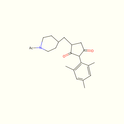 CC(=O)N1CCC(CC2CC(=O)C(c3c(C)cc(C)cc3C)C2=O)CC1